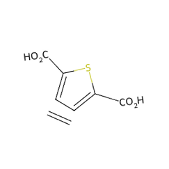 C=C.O=C(O)c1ccc(C(=O)O)s1